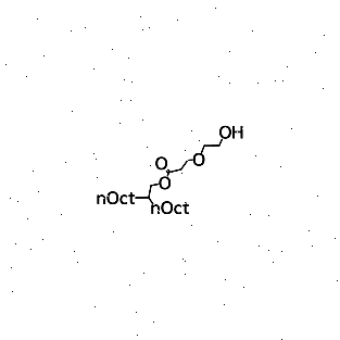 CCCCCCCCC(CCCCCCCC)COC(=O)CCOCCO